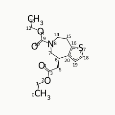 CCOC(=O)C[C@H]1CN(C(=O)OCC)CCc2sccc21